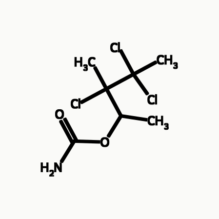 CC(OC(N)=O)C(C)(Cl)C(C)(Cl)Cl